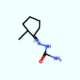 CC1CCCC/C1=N\NC(N)=O